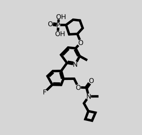 Cc1nc(-c2ccc(F)cc2COC(=O)N(C)CC2CCC2)ccc1OC1CCCC(P(=O)(O)O)C1